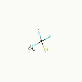 C.FC(F)(F)S